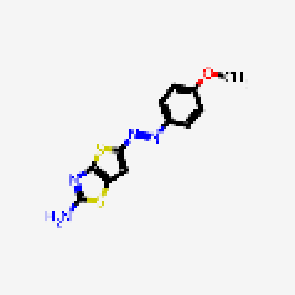 COc1ccc(N=Nc2cc3sc(N)nc3s2)cc1